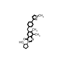 Cc1c(Cc2ccc(-c3ccn(C)n3)cc2)cc2c(=O)n([C@H]3CCC[C@@H]3O)cnc2c1C